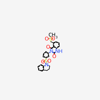 CS(=O)(=O)Cc1cccc2[nH]c(=O)n(-c3cccc(S(=O)(=O)N4CCCc5ccccc54)c3)c(=O)c12